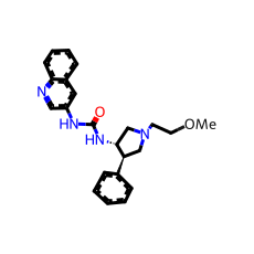 COCCN1C[C@@H](NC(=O)Nc2cnc3ccccc3c2)[C@H](c2ccccc2)C1